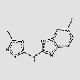 Cc1nnc(Nc2nc3ccc(F)cc3o2)o1